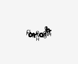 COc1cc(C)nc(NS(=O)(=O)c2ccc(NC(=O)c3cc4c(Cl)c(F)ccc4n3C)cc2)n1